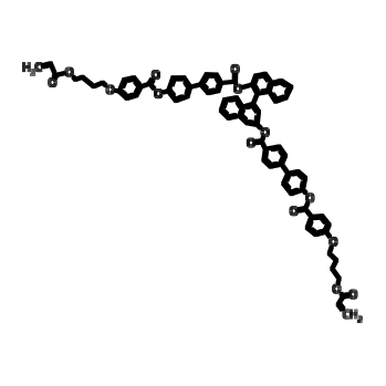 C=CC(=O)OCCCCOc1ccc(C(=O)Oc2ccc(-c3ccc(C(=O)Oc4cc(-c5c(OC(=O)c6ccc(-c7ccc(OC(=O)c8ccc(OCCCCOC(=O)C=C)cc8)cc7)cc6)ccc6ccccc56)c5ccccc5c4)cc3)cc2)cc1